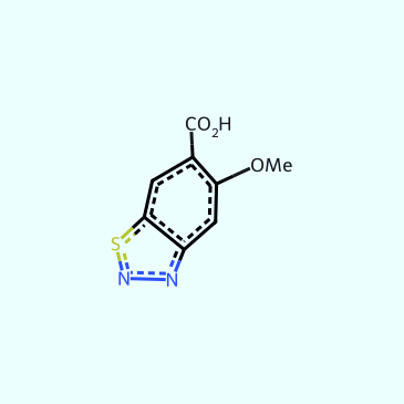 COc1cc2nnsc2cc1C(=O)O